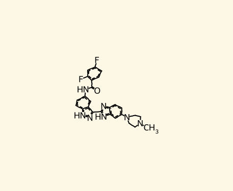 CN1CCN(c2ccc3nc(-c4n[nH]c5ccc(NC(=O)c6ccc(F)cc6F)cc45)[nH]c3c2)CC1